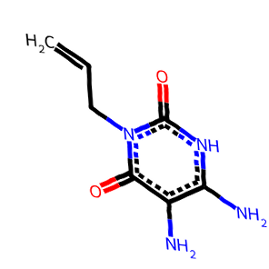 C=CCn1c(=O)[nH]c(N)c(N)c1=O